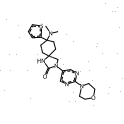 CN(C)C1(c2cccs2)CCC2(CC1)CN(c1cnc(N3CCOCC3)nc1)C(=O)N2